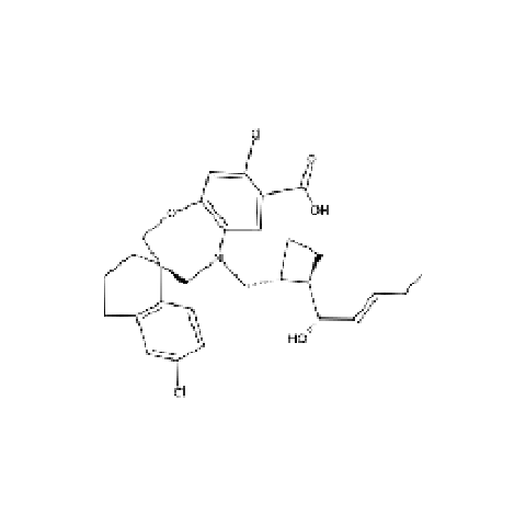 CC/C=C/[C@H](O)[C@@H]1CC[C@H]1CN1C[C@@]2(CCCc3cc(Cl)ccc32)COc2cc(Cl)c(C(=O)O)cc21